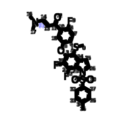 CSc1c(Oc2ccc(F)c(C(=O)/C=C/N(C)C)c2)c(F)c(F)c2c1ccn2S(=O)(=O)c1ccc(C)cc1